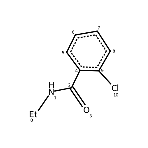 CCNC(=O)c1ccccc1Cl